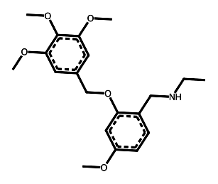 CCNCc1ccc(OC)cc1OCc1cc(OC)c(OC)c(OC)c1